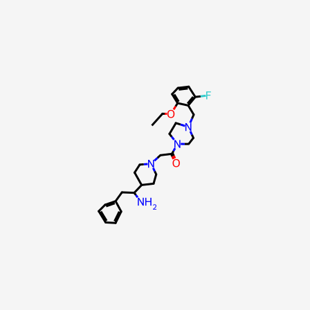 CCOc1cccc(F)c1CN1CCN(C(=O)CN2CCC(C(N)Cc3ccccc3)CC2)CC1